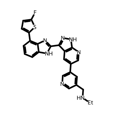 CCNCc1cncc(-c2cnc3[nH]nc(-c4nc5c(-c6ccc(F)s6)cccc5[nH]4)c3c2)c1